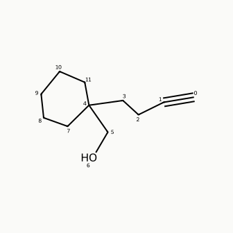 C#CCCC1(CO)CCCCC1